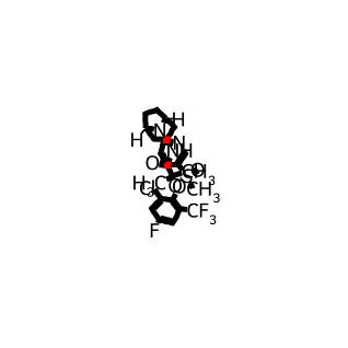 CC(C)(Oc1c(Cl)cc(F)cc1C(F)(F)F)C(=O)N[C@H]1C[C@H]2CC[C@@H](C1)N2c1ccc(S(C)(=O)=O)cn1